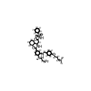 CC(C)CCN(C)c1ccc(C(=O)NC(CC(=O)NS(=O)(=O)c2ccccc2)C2CCCCC2)cc1NCc1ccc(OCCCN(C)C)cc1